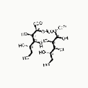 O=C([O-])[C@@H](O)[C@H](O)[C@@H](O)[C@@H](O)CO.O=C([O-])[C@@H](O)[C@H](O)[C@@H](O)[C@@H](O)CO.[Ca+2]